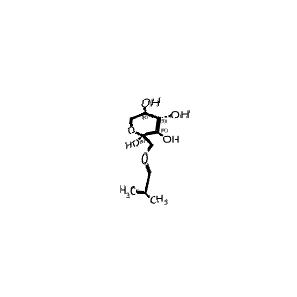 CC(C)COC[C@]1(O)OC[C@@H](O)[C@H](O)[C@H]1O